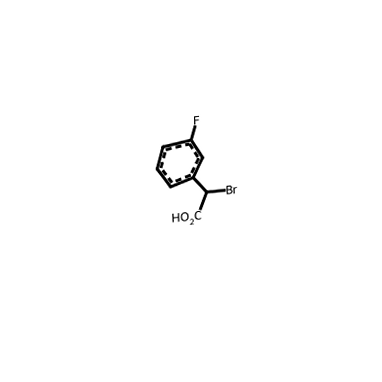 O=C(O)C(Br)c1cccc(F)c1